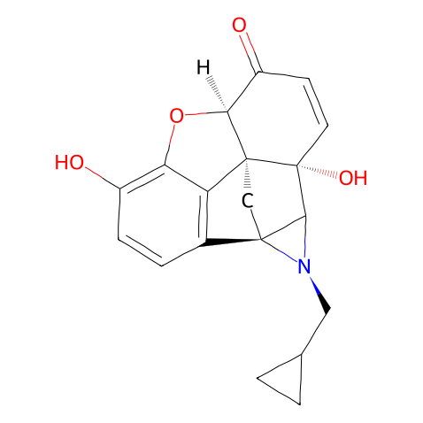 O=C1C=C[C@@]2(O)C3[N@@](CC4CC4)[C@]34C[C@@]23c2c4ccc(O)c2O[C@@H]13